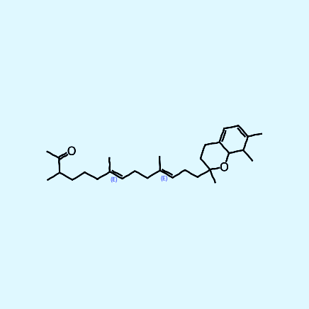 CC(=O)C(C)CCC/C(C)=C/CC/C(C)=C/CCC1(C)CCC2=CC=C(C)C(C)C2O1